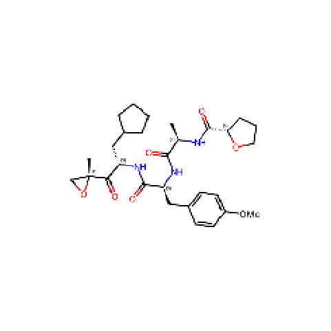 COc1ccc(C[C@H](NC(=O)[C@@H](C)NC(=O)[C@@H]2CCCO2)C(=O)N[C@@H](CC2CCCC2)C(=O)[C@@]2(C)CO2)cc1